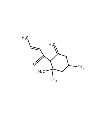 C=C1CC(C)CC(C)(C)C1C(=O)C=CC